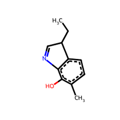 CCC1C=Nc2c1ccc(C)c2O